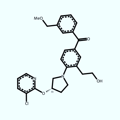 COCc1cccc(C(=O)c2ccc(N3CC[C@H](Oc4ncccc4Cl)C3)c(CCO)c2)c1